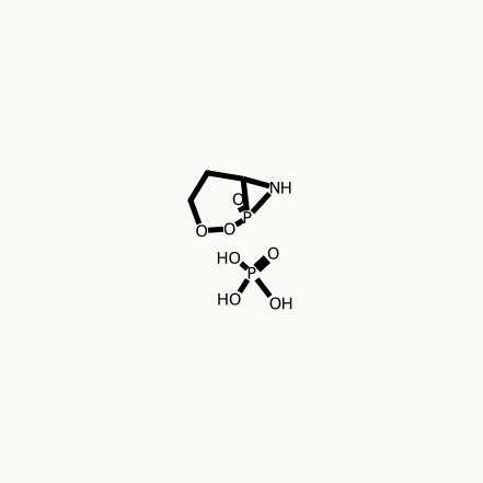 O=P(O)(O)O.O=P12NC1CCOO2